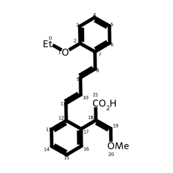 CCOc1ccccc1/C=C/C=Cc1ccccc1/C(=C\OC)C(=O)O